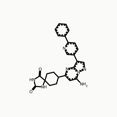 Nc1cc(C2CCC3(CC2)NC(=O)NC3=O)nc2c(-c3ccc(-c4ccccc4)nc3)cnn12